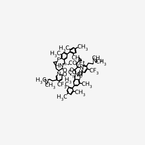 CCOC(=O)C[C@H](NC(=O)C(CC1CC1)n1cc(CCN(C)C)c(C(F)(F)F)cc1=O)c1cc(-c2c(C)cc(C)cc2C)cc(C)c1F.Cc1cc(C)c(-c2cc(C)c(F)c([C@H](CC(=O)O)NC(=O)C(CC3CC3)n3cc(CCN(C)C)c(C(F)(F)F)cc3=O)c2)c(C)c1